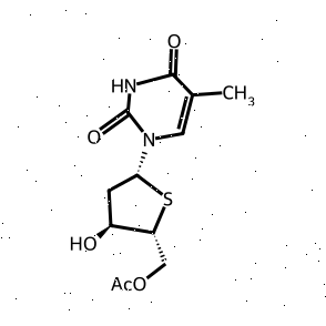 CC(=O)OC[C@H]1S[C@@H](n2cc(C)c(=O)[nH]c2=O)C[C@@H]1O